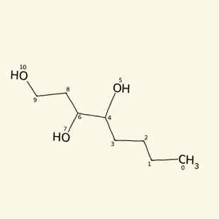 CCCCC(O)C(O)CCO